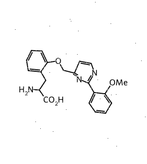 COc1ccccc1-c1nccc(COc2ccccc2CC(N)C(=O)O)n1